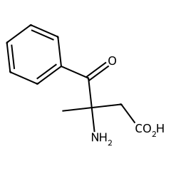 CC(N)(CC(=O)O)C(=O)c1ccccc1